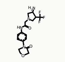 NC1CN(CC(=O)Nc2ccc(N3CCOCC3=O)cc2)CC1C(F)(F)F